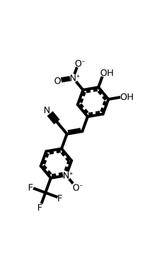 N#CC(=Cc1cc(O)c(O)c([N+](=O)[O-])c1)c1ccc(C(F)(F)F)[n+]([O-])c1